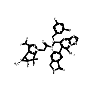 C[C@@H]1C2c3c(C(F)F)nn(CC(=O)N[C@@H](Cc4cc(F)cc(F)c4)c4nc5ncnn5c(N)c4-c4ccc5c(c4)C(=O)NC5)c3C(F)(F)[C@@H]21